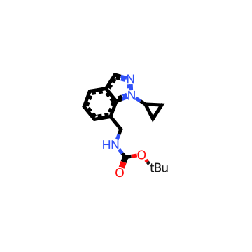 CC(C)(C)OC(=O)NCc1cccc2cnn(C3CC3)c12